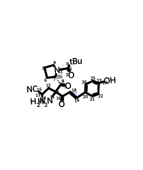 CC(C)(C)C(=O)N1CCC[C@H]1C(=O)C(N)(CC(N)C#N)C(=O)/C=C/c1ccc(O)cc1